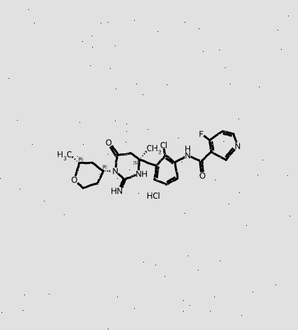 C[C@@H]1C[C@H](N2C(=N)N[C@](C)(c3cccc(NC(=O)c4cnccc4F)c3Cl)CC2=O)CCO1.Cl